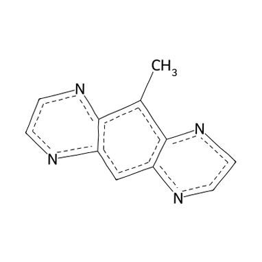 Cc1c2nccnc2cc2nccnc12